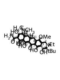 CCN(Cc1cc(O)c2c(c1OC)C[C@H]1C[C@H]3[C@H](N(C)C)C(O)=C(C(N)=O)C(=O)[C@@]3(O)C(O)=C1C2=O)[C@H](CO)C(C)(C)C